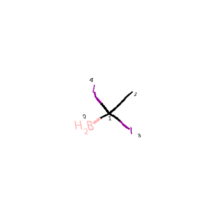 BC(C)(I)I